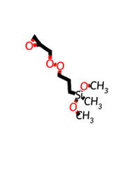 CO[Si](C)(CCCOOCC1CO1)OC